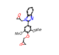 COc1cc(-c2nc3ccccc3n2CC2CO2)cc(OC)c1OCC1CO1